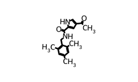 CC(=O)c1c[nH]c(C(=O)NCc2c(C)cc(C)cc2C)c1